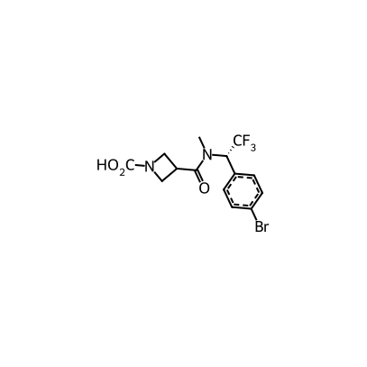 CN(C(=O)C1CN(C(=O)O)C1)[C@@H](c1ccc(Br)cc1)C(F)(F)F